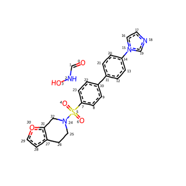 O=CNO.O=S(=O)(c1ccc(-c2ccc(-n3ccnc3)cc2)cc1)N1CCc2ccoc2C1